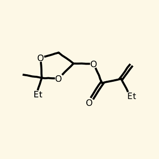 C=C(CC)C(=O)OC1COC(C)(CC)O1